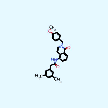 Cc1cc(C)cc(CC(=O)Nc2cccc3c(=O)n(Cc4ccc(OC(F)(F)F)cc4)ccc23)c1